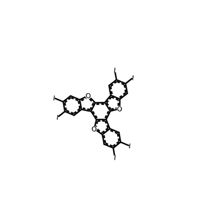 Ic1cc2oc3c(c2cc1I)c1oc2cc(I)c(I)cc2c1c1oc2cc(I)c(I)cc2c31